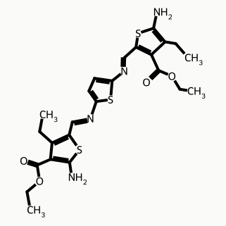 CCOC(=O)c1c(N)sc(/C=N/c2ccc(/N=C/c3sc(N)c(CC)c3C(=O)OCC)s2)c1CC